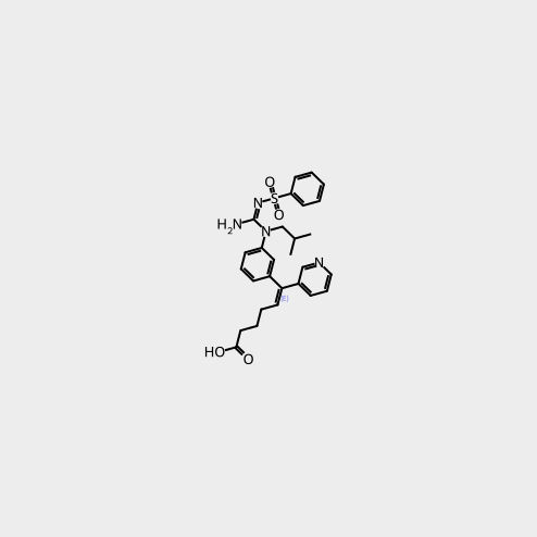 CC(C)CN(C(N)=NS(=O)(=O)c1ccccc1)c1cccc(/C(=C\CCCC(=O)O)c2cccnc2)c1